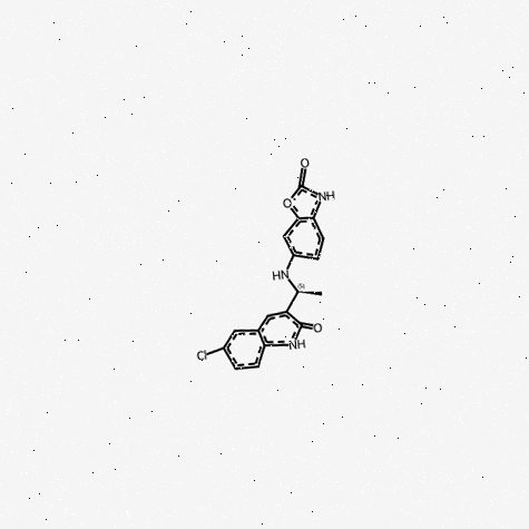 C[C@H](Nc1ccc2[nH]c(=O)oc2c1)c1cc2cc(Cl)ccc2[nH]c1=O